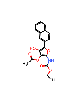 CCOC(=O)Nc1oc(-c2ccc3ccccc3c2)c(O)c1OC(C)=O